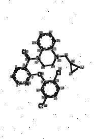 O=C(c1cccnc1Oc1cc(Cl)ccc1Cl)N1CCN(CC2CC2)c2ccccc21